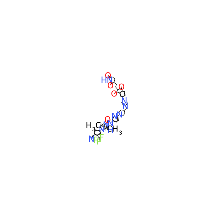 C[C@@H]1CN(c2ccc(C#N)c(C(F)(F)F)c2)[C@@H](C)CN1C(=O)Nc1ccc(N2CCC(CN3CCN(c4ccc5c(c4)C(=O)C(CCC4CCC(=O)NC4=O)C5=O)CC3)CC2)nc1